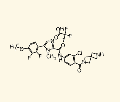 COc1ccc(-c2cnc(C(=O)Nc3ccc(C(=O)N4CC5(CNC5)C4)c(Cl)c3)n2C)c(F)c1F.O=C(O)C(F)(F)F